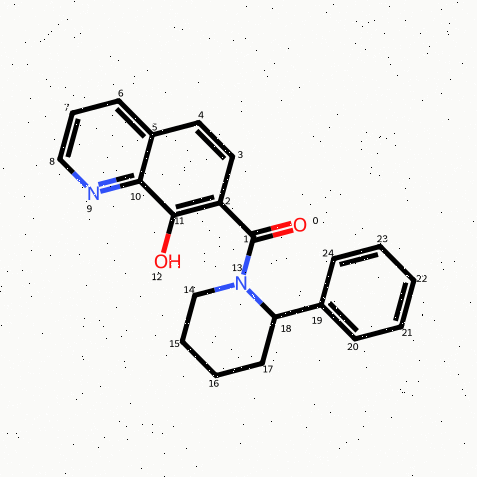 O=C(c1ccc2cccnc2c1O)N1CCCCC1c1ccccc1